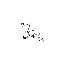 BrB(Br)Br.CCCCCCC